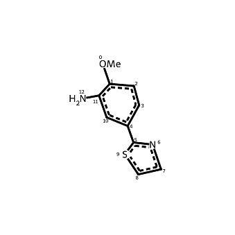 COc1ccc(-c2nccs2)cc1N